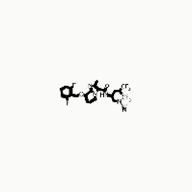 Cc1nc2c(OCc3c(F)cccc3F)cccn2c1C(=O)NC(CN=[N+]=[N-])CC(C(F)(F)F)C(F)(F)F